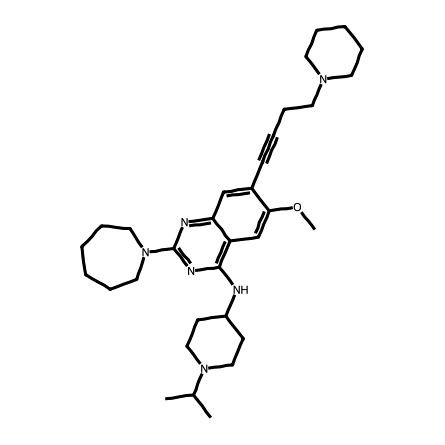 COc1cc2c(NC3CCN(C(C)C)CC3)nc(N3CCCCCC3)nc2cc1C#CCCN1CCCCC1